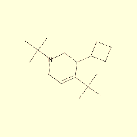 CC(C)(C)C1=CCN(C(C)(C)C)CC1C1CCC1